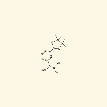 CC(=O)OC(c1cncc(B2OC(C)(C)C(C)(C)O2)c1)N(C(C)=O)C(C)=O